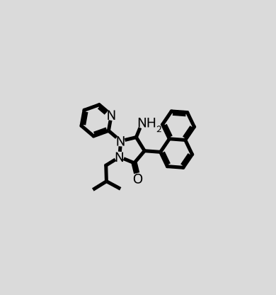 CC(C)CN1C(=O)C(c2cccc3ccccc23)C(N)N1c1ccccn1